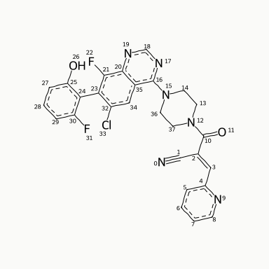 N#C/C(=C\c1ccccn1)C(=O)N1CCN(c2ncnc3c(F)c(-c4c(O)cccc4F)c(Cl)cc23)CC1